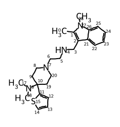 Cc1c(CNCCN2CCC(c3cccs3)(N(C)C)CC2)c2ccccc2n1C